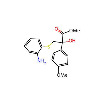 COC(=O)[C@](O)(CSc1ccccc1N)c1ccc(OC)cc1